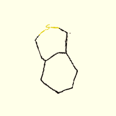 [CH]1SCC2CCCCC12